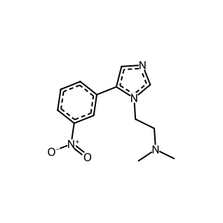 CN(C)CCn1cncc1-c1cccc([N+](=O)[O-])c1